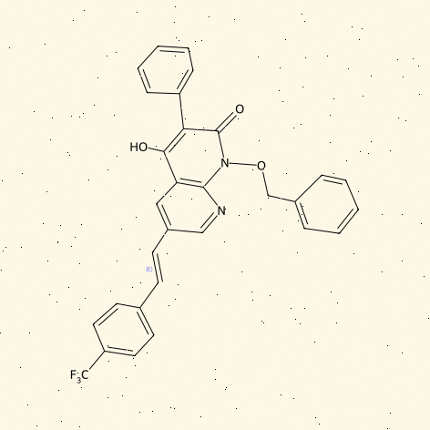 O=c1c(-c2ccccc2)c(O)c2cc(/C=C/c3ccc(C(F)(F)F)cc3)cnc2n1OCc1ccccc1